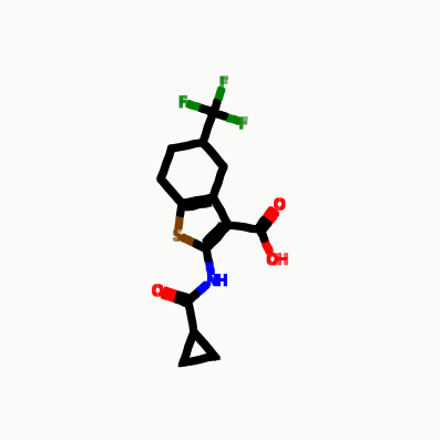 O=C(O)c1c(NC(=O)C2CC2)sc2c1CC(C(F)(F)F)CC2